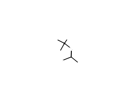 CCC(C)(C)NC(C)Cl.Cl